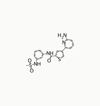 CS(=O)(=O)Nc1cccc(NC(=O)c2cc(-c3cccc(N)n3)cs2)c1